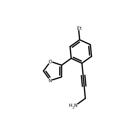 CCc1ccc(C#CCN)c(-c2cnco2)c1